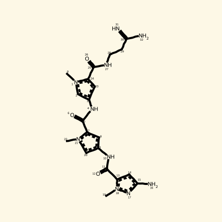 Cn1cc(NC(=O)c2cc(NC(=O)c3cc(N)nn3C)cn2C)cc1C(=O)NCCC(=N)N